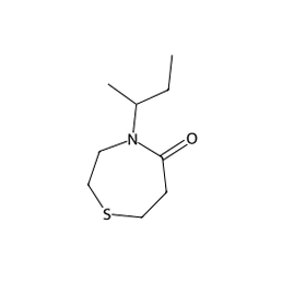 CCC(C)N1CCSCCC1=O